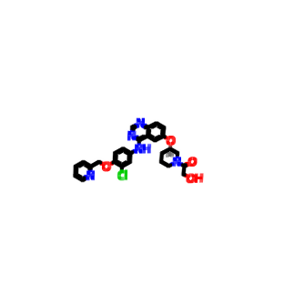 O=C(CO)N1CCC[C@H](Oc2ccc3ncnc(Nc4ccc(OCc5ccccn5)c(Cl)c4)c3c2)C1